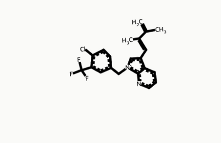 C=C(C)/C(C)=C/c1cn(Cc2ccc(Cl)c(C(F)(F)F)c2)c2ncccc12